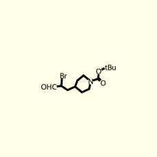 CC(C)(C)OC(=O)N1CCC(CC(Br)C=O)CC1